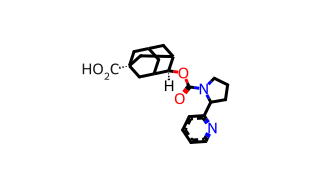 O=C(O[C@H]1C2CC3CC1C[C@](C(=O)O)(C3)C2)N1CCCC1c1ccccn1